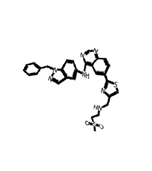 CS(=O)(=O)CCNCc1csc(-c2ccc3ncnc(Nc4ccc5c(cnn5Cc5ccccc5)c4)c3c2)n1